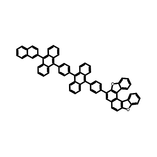 c1ccc2cc(-c3c4ccccc4c(-c4ccc(-c5c6ccccc6c(-c6ccc(-c7cc8ccc9oc%10ccccc%10c9c8c8c7oc7ccccc78)cc6)c6ccccc56)cc4)c4ccccc34)ccc2c1